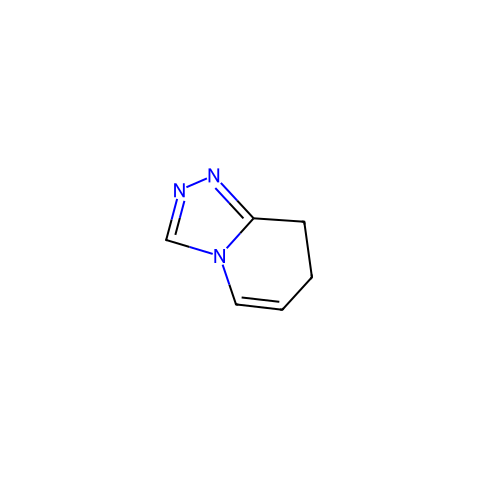 C1=Cn2cnnc2CC1